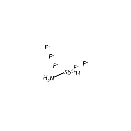 [F-].[F-].[F-].[F-].[F-].[NH2][SbH+5]